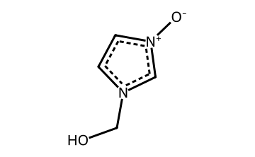 [O-][n+]1ccn(CO)c1